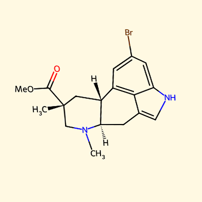 COC(=O)[C@]1(C)C[C@@H]2c3cc(Br)cc4[nH]cc(c34)C[C@H]2N(C)C1